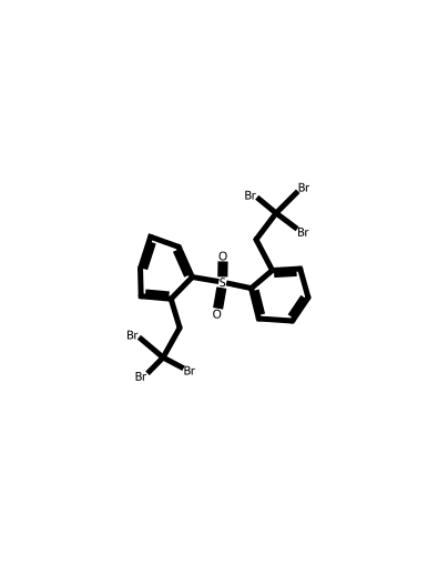 O=S(=O)(c1ccccc1CC(Br)(Br)Br)c1ccccc1CC(Br)(Br)Br